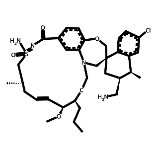 CCC[C@@H]1CCN2C[C@]3(COc4ccc(cc42)C(=O)N=S(N)(=O)C[C@@H](C)C/C=C/[C@@H]1OC)C[C@H](CN)[C@H](C)c1cc(Cl)ccc13